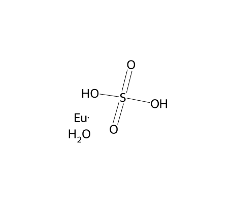 O.O=S(=O)(O)O.[Eu]